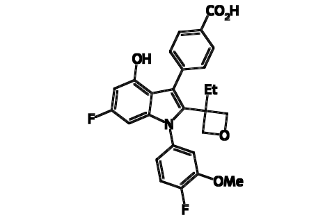 CCC1(c2c(-c3ccc(C(=O)O)cc3)c3c(O)cc(F)cc3n2-c2ccc(F)c(OC)c2)COC1